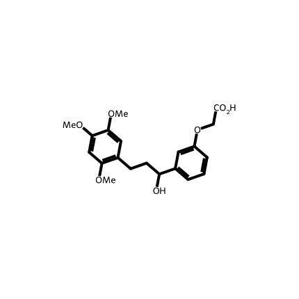 COc1cc(OC)c(OC)cc1CCC(O)c1cccc(OCC(=O)O)c1